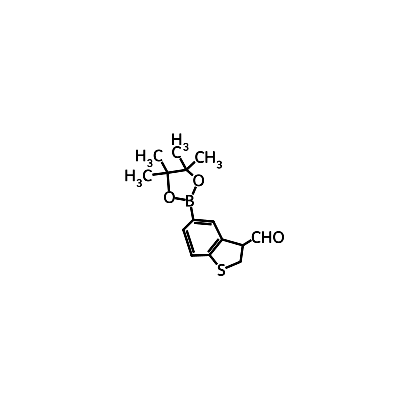 CC1(C)OB(c2ccc3c(c2)C(C=O)CS3)OC1(C)C